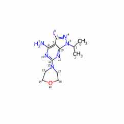 CC(C)n1nc(I)c2c(N)nc(N3CCOCC3)nc21